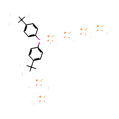 CC(C)(C)c1ccc([I+]c2ccc(C(C)(C)C)cc2)cc1.O=P(O)(O)F.O=P(O)(O)F.O=P(O)(O)F.O=P(O)(O)F.O=P(O)(O)F.O=P([O-])(O)F